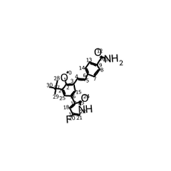 COc1c(C=Cc2ccc(C(N)=O)cc2)cc(-c2cc(F)c[nH]c2=O)cc1C(C)(C)C